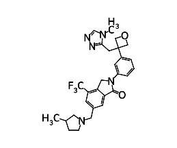 CC1CCN(Cc2cc3c(c(C(F)(F)F)c2)CN(c2cccc(C4(Cc5nncn5C)COC4)c2)C3=O)C1